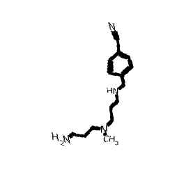 CN(CCCN)CCCNCc1ccc(C#N)cc1